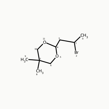 CC(Br)CC1OCC(C)(C)CO1